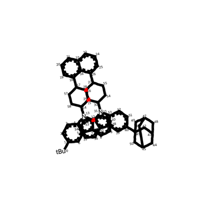 CC(C)(C)c1ccc2c(c1)c1ccccc1n2C1CCC(c2cccc3cccc(C4CCC(n5c6ccccc6c6cc(C78CC9CC(CC(C9)C7)C8)ccc65)CC4)c23)CC1